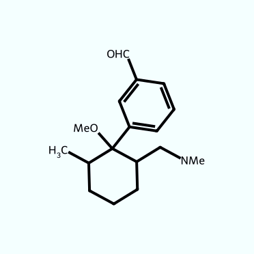 CNCC1CCCC(C)C1(OC)c1cccc(C=O)c1